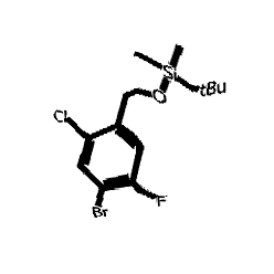 CC(C)(C)[Si](C)(C)OCc1cc(F)c(Br)cc1Cl